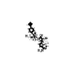 CCOC(=O)[C@H](C)NP(=O)(OC[C@H]1O[C@@](C)(c2ccc3c(N)ncnn23)[C@H](O)[C@@H]1O)Oc1ccc(C23CC(C2)C3)cc1